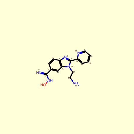 N=C(NO)c1ccc2nc(-c3ccccn3)n(CCN)c2c1